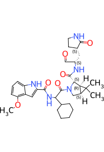 COc1cccc2[nH]c(C(=O)NC(C(=O)N3C[C@H]4[C@@H]([C@H]3C(=O)N[C@H](C=O)C[C@@H]3CCNC3=O)C4(C)C)C3CCCCC3)cc12